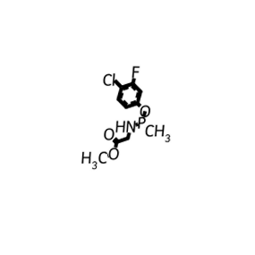 COC(=O)CNP(C)Oc1ccc(Cl)c(F)c1